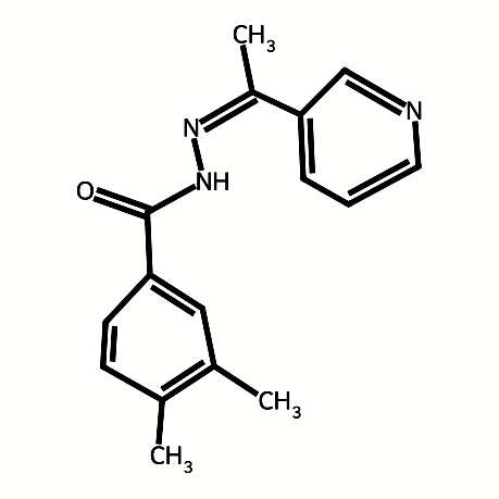 CC(=NNC(=O)c1ccc(C)c(C)c1)c1cccnc1